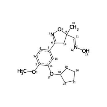 COc1ccc(C2=NOC(C)(C=NO)C2)cc1OC1CCCC1